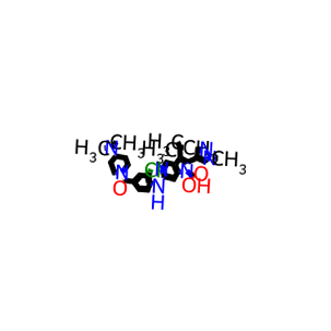 CN(C)C1CCN(C(=O)c2ccc(Nc3cc4c(cn3)c(C(C)(C)C)c(-c3cnn(C)c3)n4C(=O)O)c(Cl)c2)CC1